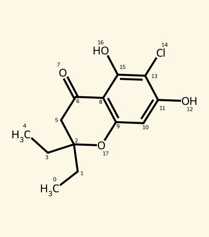 CCC1(CC)CC(=O)c2c(cc(O)c(Cl)c2O)O1